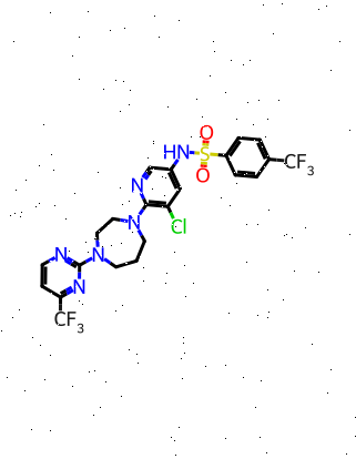 O=S(=O)(Nc1cnc(N2CCCN(c3nccc(C(F)(F)F)n3)CC2)c(Cl)c1)c1ccc(C(F)(F)F)cc1